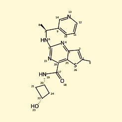 Cc1cc2nc(N[C@@H](C)c3cccnc3)nc(C(=O)N[C@H]3C[C@@H](O)C3)c2s1